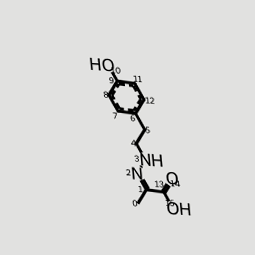 CC(=NNCCc1ccc(O)cc1)C(=O)O